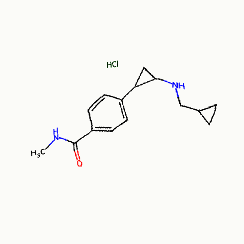 CNC(=O)c1ccc(C2CC2NCC2CC2)cc1.Cl